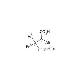 CCCCCCCC(Br)(C(C)=O)C(Br)C(=O)O